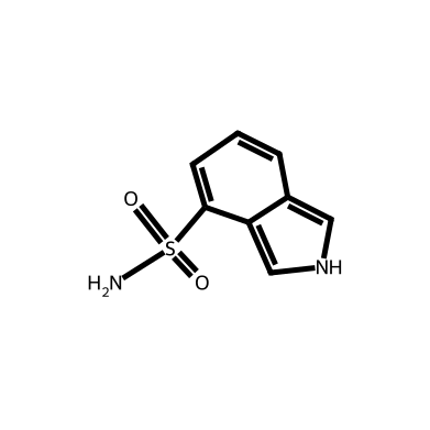 NS(=O)(=O)c1cccc2c[nH]cc12